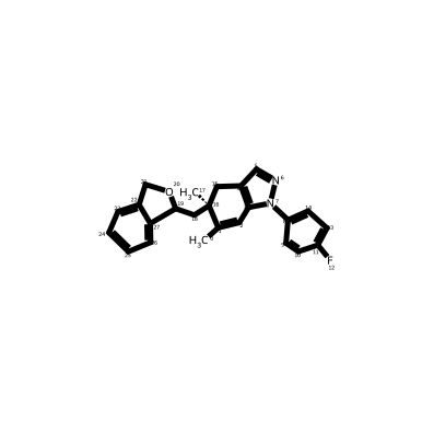 CC1=Cc2c(cnn2-c2ccc(F)cc2)C[C@]1(C)CC1OCc2ccccc21